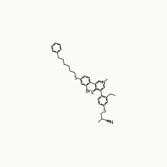 CCc1cc(SCC(C)C#N)ccc1-c1cn(C)cc(-c2ccc(SCCCCCCc3ccccc3)cc2Br)c1=S